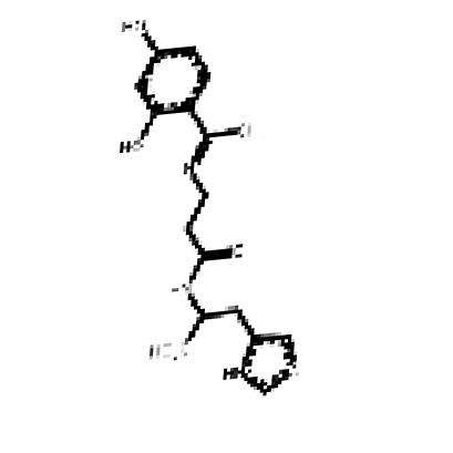 C/C(=N\CCC(=O)NC(Cc1cnc[nH]1)C(=O)O)c1ccc(O)cc1O